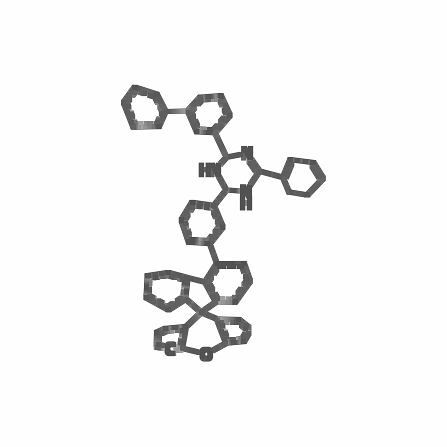 C1=CCCC(C2=NC(c3cccc(-c4ccccc4)c3)NC(c3cccc(-c4cccc5c4-c4ccccc4C54c5ccccc5Oc5ccccc54)c3)N2)=C1